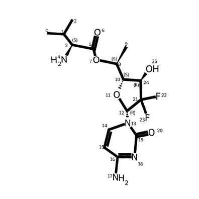 CC(C)[C@H](N)C(=O)O[C@@H](C)[C@H]1O[C@@H](n2ccc(N)nc2=O)C(F)(F)[C@@H]1O